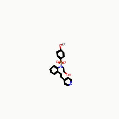 CCOc1ccc(S(=O)(=O)N(CCO)c2ccccc2C=Cc2ccncc2)cc1